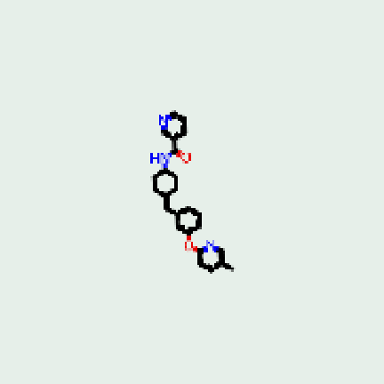 Cc1ccc(Oc2cccc(C=C3CCC(NC(=O)c4cccnc4)CC3)c2)nc1